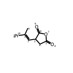 CC(=CC1CC(=O)OC1=O)C(C)C